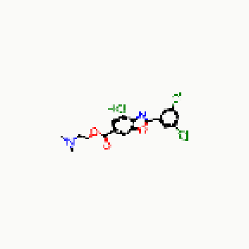 CN(C)CCOC(=O)c1ccc2nc(-c3cc(Cl)cc(Cl)c3)oc2c1.Cl